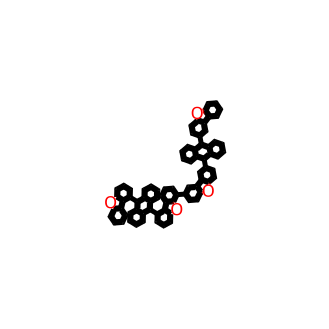 c1ccc2c(c1)oc1ccc(-c3c4ccccc4c(-c4ccc5oc6ccc(-c7cccc8c7oc7cccc(-c9c%10ccccc%10c(-c%10cccc%11oc%12ccccc%12c%10%11)c%10ccccc9%10)c78)cc6c5c4)c4ccccc34)cc12